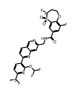 C[C@H](F)c1ccc(-c2ccc3cnc(CNC(=O)c4cc(F)c5c(c4)S(=O)(=O)[C@@H](F)CCO5)cc3n2)c(OC(F)F)n1